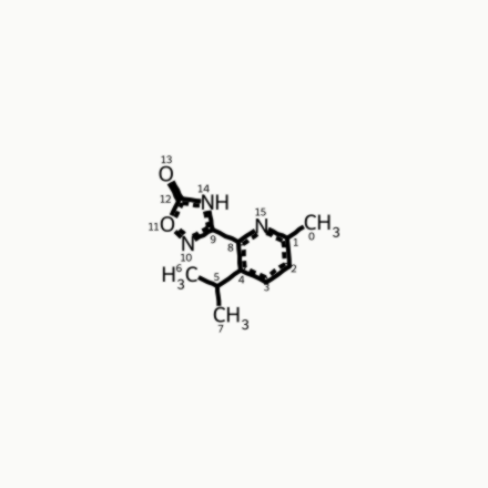 Cc1ccc(C(C)C)c(-c2noc(=O)[nH]2)n1